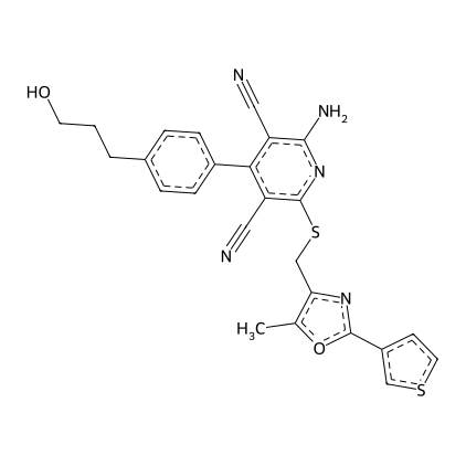 Cc1oc(-c2ccsc2)nc1CSc1nc(N)c(C#N)c(-c2ccc(CCCO)cc2)c1C#N